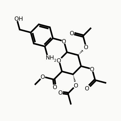 COC(=O)C1OC(Oc2ccc(CO)cc2N)[C@H](OC(C)=O)C(OC(C)=O)[C@@H]1OC(C)=O